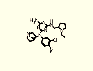 CCN1CCCC1CNc1nc(N)nc(N(c2ccc(OC)c(Cl)c2)C2CN3CCC2CC3)n1